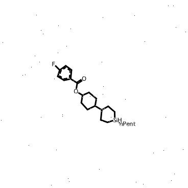 CCCCC[SiH]1CCC(C2CCC(OC(=O)c3ccc(F)cc3)CC2)CC1